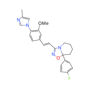 COc1cc(/C=C/C2=NOC3(c4ccc(F)cc4)CCCCN23)ccc1-n1cnc(C)c1